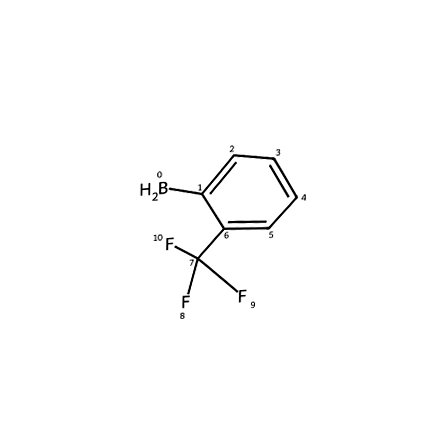 Bc1ccccc1C(F)(F)F